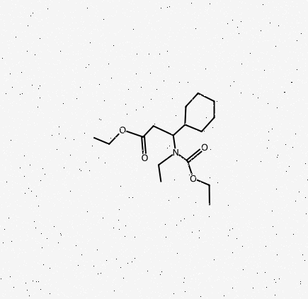 CCOC(=O)CC(C1CCCCC1)N(CC)C(=O)OCC